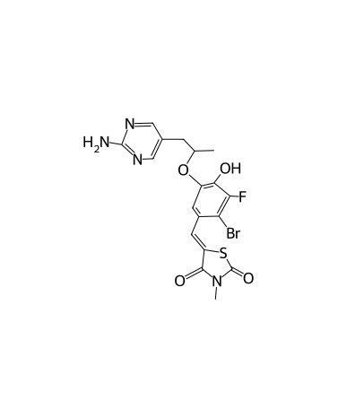 CC(Cc1cnc(N)nc1)Oc1cc(/C=C2\SC(=O)N(C)C2=O)c(Br)c(F)c1O